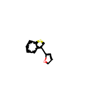 C1=CC(c2csc3ccccc23)OC1